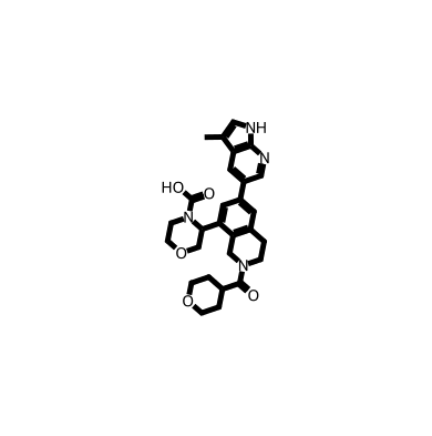 Cc1c[nH]c2ncc(-c3cc4c(c(C5COCCN5C(=O)O)c3)CN(C(=O)C3CCOCC3)CC4)cc12